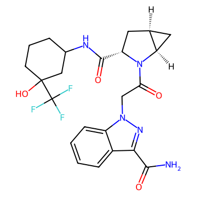 NC(=O)c1nn(CC(=O)N2[C@@H]3C[C@@H]3C[C@H]2C(=O)NC2CCCC(O)(C(F)(F)F)C2)c2ccccc12